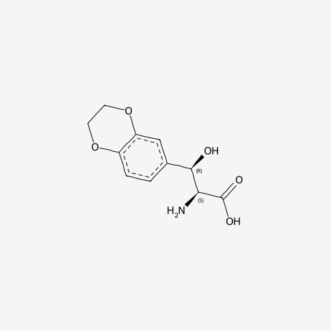 N[C@H](C(=O)O)[C@H](O)c1ccc2c(c1)OCCO2